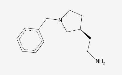 NCC[C@@H]1CCN(Cc2ccccc2)C1